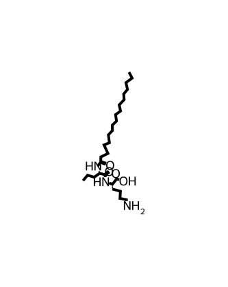 CCCCCCCCCCCCCCCCCC(=O)N[C@H](C(=O)N[C@@H](CCCCN)C(=O)O)[C@@H](C)CC